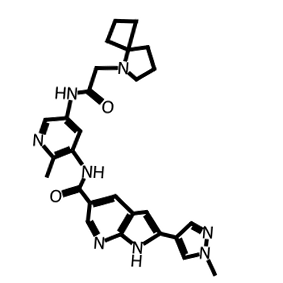 Cc1ncc(NC(=O)CN2CCCC23CCC3)cc1NC(=O)c1cnc2[nH]c(-c3cnn(C)c3)cc2c1